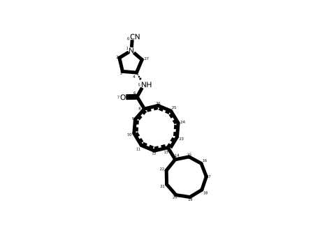 N#CN1CC[C@@H](NC(=O)c2ccccc(C3CCCCCCCC3)cccc2)C1